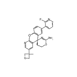 CC1(c2cnc3c(c2)[C@]2(CCOC(N)=N2)c2cc(-c4cccnc4F)ccc2O3)COC1